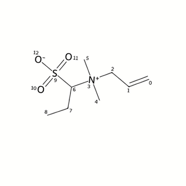 C=CC[N+](C)(C)C(CC)S(=O)(=O)[O-]